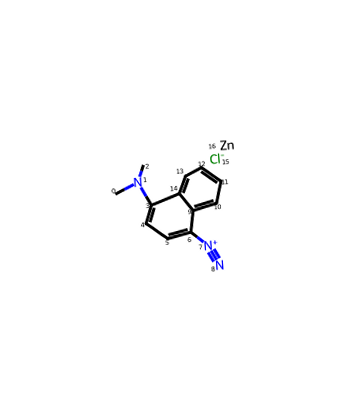 CN(C)c1ccc([N+]#N)c2ccccc12.[Cl-].[Zn]